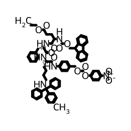 C=CCOC(=O)CCC(NC(=O)OCC1c2ccccc2-c2ccccc21)C(=O)N[C@@H](Cc1ccccc1)C(=O)N[C@@H](CCCCNC(c1ccccc1)(c1ccccc1)c1ccc(C)cc1)C(=O)Nc1ccc(COC(=O)Oc2ccc([N+](=O)[O-])cc2)cc1